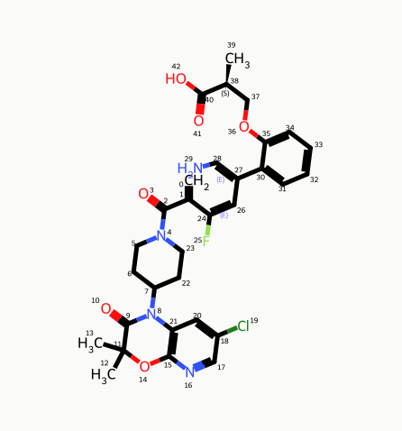 C=C(C(=O)N1CCC(N2C(=O)C(C)(C)Oc3ncc(Cl)cc32)CC1)/C(F)=C\C(=C/N)c1ccccc1OC[C@H](C)C(=O)O